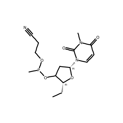 CC[C@H]1O[C@@H](n2ccc(=O)n(C)c2=O)CC1OP(C)OCCC#N